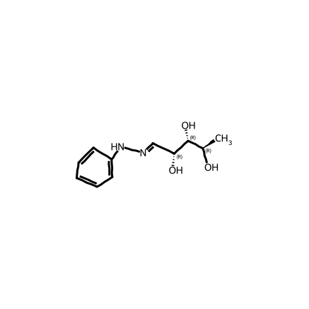 C[C@@H](O)[C@@H](O)[C@H](O)C=NNc1ccccc1